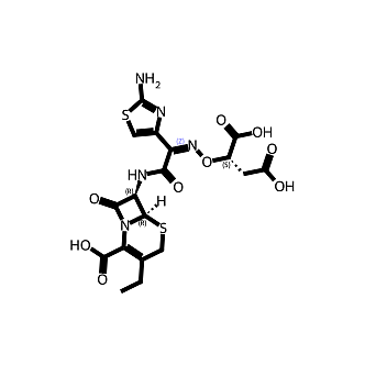 CCC1=C(C(=O)O)N2C(=O)[C@@H](NC(=O)/C(=N\O[C@@H](CC(=O)O)C(=O)O)c3csc(N)n3)[C@H]2SC1